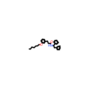 CCCCCCCOc1cccc(CCC(=O)NC(Cc2ccccc2)c2ccccc2)c1